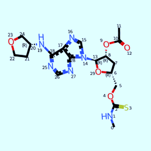 CNC(=S)OC[C@H]1[CH][C@@H](OC(C)=O)[C@H](n2cnc3c(N[C@@H]4CCOC4)ncnc32)O1